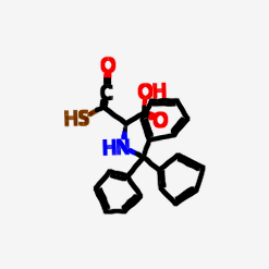 O=C=C(S)[C@H](NC(c1ccccc1)(c1ccccc1)c1ccccc1)C(=O)O